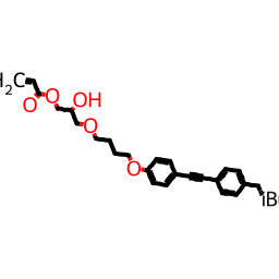 C=CC(=O)OCC(O)COCCCCOc1ccc(C#Cc2ccc(CC(C)CC)cc2)cc1